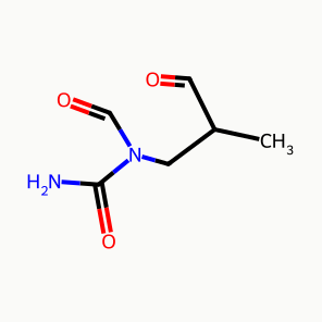 CC(C=O)CN(C=O)C(N)=O